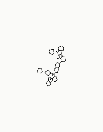 c1ccc(-c2ccc(N(c3ccc4cc(-c5cccc6c5oc5c6c6ccccc6n5-c5ccccc5)ccc4c3)c3cccc4c3oc3ccccc34)cc2)cc1